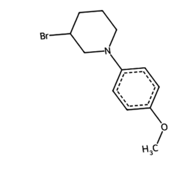 COc1ccc(N2CCCC(Br)C2)cc1